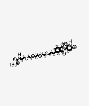 CC(C)(C)OC(=O)NCCOCCOCCOCCOCCCc1ccc2c(c1)C(=O)N(C1CCC(=O)NC1=O)C2=O